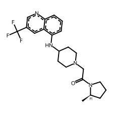 C[C@@H]1CCCN1C(=O)CN1CCC(Nc2cccc3ncc(C(F)(F)F)cc23)CC1